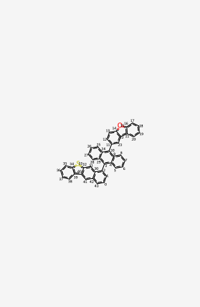 c1cc(-c2c3ccccc3c(-c3ccc4oc5ccccc5c4c3)c3ccccc23)c2cc3sc4ccccc4c3cc2c1